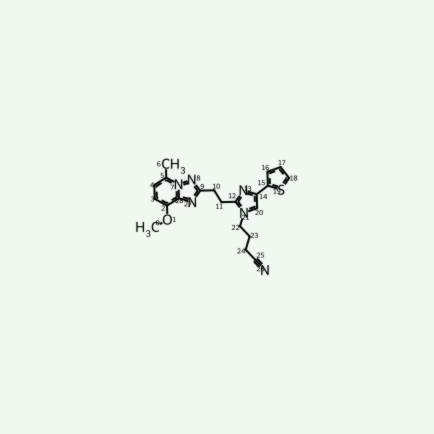 COc1ccc(C)n2nc(CCc3nc(-c4cccs4)cn3CCCC#N)nc12